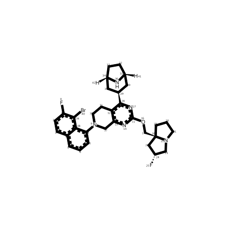 Fc1ccc2cccc(N3CCc4c(nc(OC[C@@]56CCCN5C[C@H](F)C6)nc4[C@@H]4C[C@H]5CC[C@@H](C4)N5)C3)c2c1Br